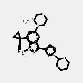 C[C@@H]1COCCN1c1cc(C2(C#N)CC2)c2c(n1)c(-c1ccn(C3CCCCO3)n1)nn2C